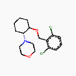 Clc1cccc(Cl)c1COC1CCCC[C@H]1N1CCOCC1